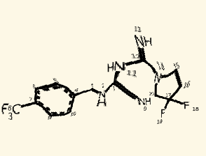 N=C(NCc1ccc(C(F)(F)F)cc1)NC(=N)N1CCC(F)(F)C1